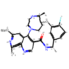 COc1cc2c(N3CCN[C@@H](C)CC3)c(C(=O)N[C@@H](C)c3ccc(F)c(OC)c3)cnc2c(C(F)(F)F)n1